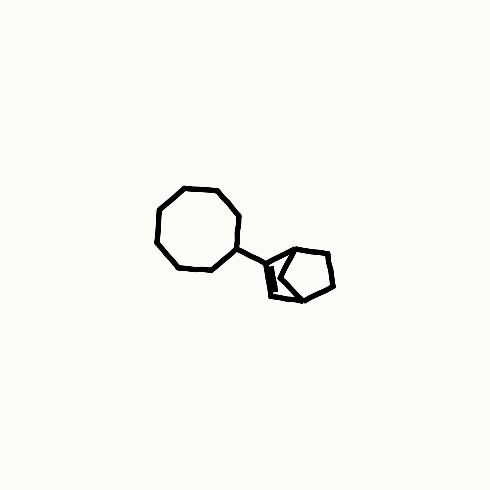 C1=C(C2CCCCCCC2)C2CCC1C2